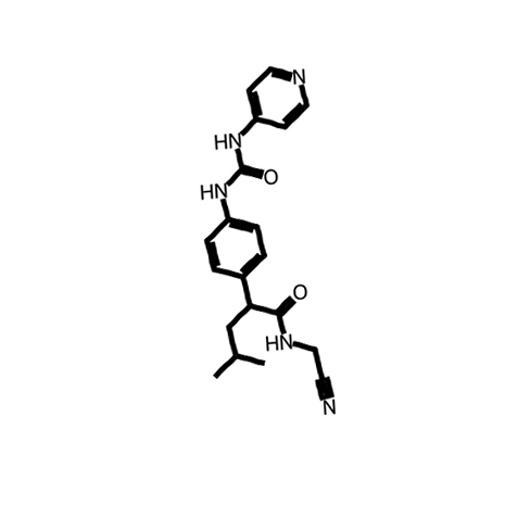 CC(C)CC(C(=O)NCC#N)c1ccc(NC(=O)Nc2ccncc2)cc1